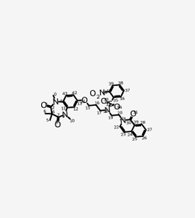 CN1C(=O)C(C)(C)C(=O)N(C)c2cc(OCCCN(CCn3ccc4ccccc4c3=O)S(=O)(=O)c3ccccc3[N+](=O)[O-])ccc21